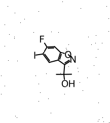 CC(C)(O)c1noc2cc(F)c(I)cc12